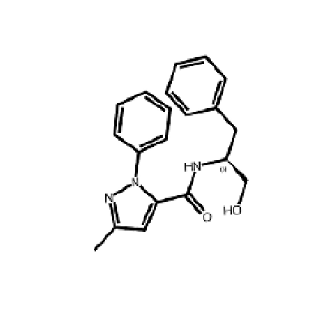 Cc1cc(C(=O)N[C@H](CO)Cc2ccccc2)n(-c2ccccc2)n1